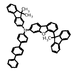 CC1(C)c2ccccc2-c2ccc(N(c3ccc(-c4ccc(-c5ccccc5)cc4)cc3)c3ccc4c(c3)oc3c(C5(C)c6ccccc6-c6ccccc65)cccc34)cc21